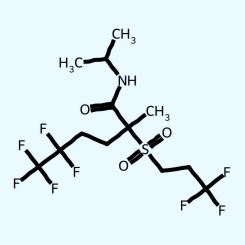 CC(C)NC(=O)C(C)(CCC(F)(F)C(F)(F)F)S(=O)(=O)CCC(F)(F)F